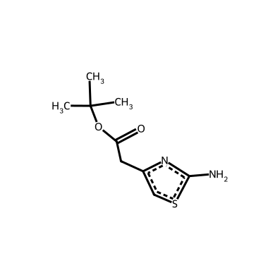 CC(C)(C)OC(=O)Cc1csc(N)n1